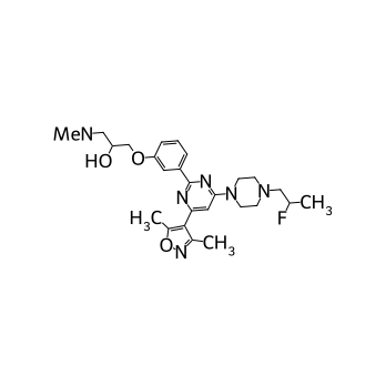 CNCC(O)COc1cccc(-c2nc(-c3c(C)noc3C)cc(N3CCN(CC(C)F)CC3)n2)c1